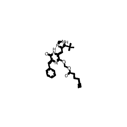 C#CCCCC(=O)OCOc1n/c(=C\c2ccccc2)c(=O)[nH]/c1=C\c1nc[nH]c1C(C)(C)C